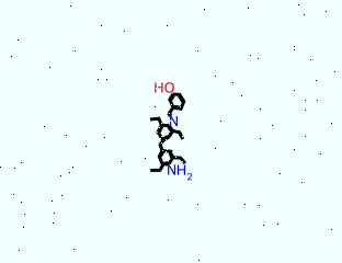 CCc1cc(Cc2cc(CC)c(/N=C/c3cccc(O)c3)c(CC)c2)cc(CC)c1N